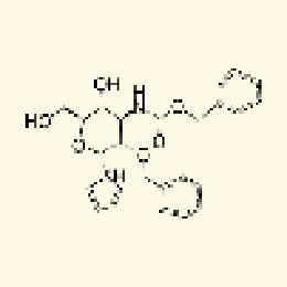 O=C(N[C@@H]1[C@@H](O)[C@H](CO)O[C@@H]([SH]2C=CC=C2)[C@H]1OCc1ccccc1)OCc1ccccc1